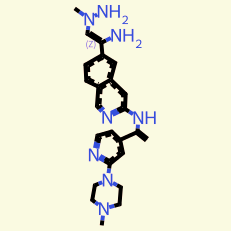 C=C(Nc1cc2cc(/C(N)=C/N(C)N)ccc2cn1)c1ccnc(N2CCN(C)CC2)c1